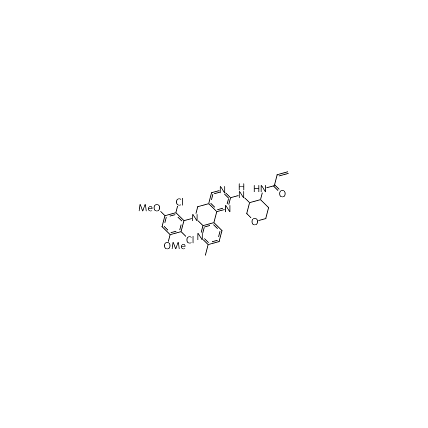 C=CC(=O)NC1CCOCC1Nc1ncc2c(n1)-c1ccc(C)nc1N(c1c(Cl)c(OC)cc(OC)c1Cl)C2